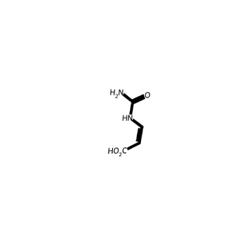 NC(=O)N/C=C\C(=O)O